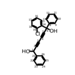 OC(C#CC#CC(O)(c1ccccc1)c1ccccc1Cl)c1ccccc1